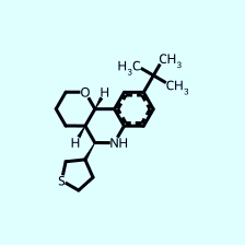 CC(C)(C)c1ccc2c(c1)[C@H]1OCCC[C@H]1[C@H](C1CCSC1)N2